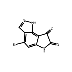 O=C1Nc2cc(Br)c3cn[nH]c3c2C1=O